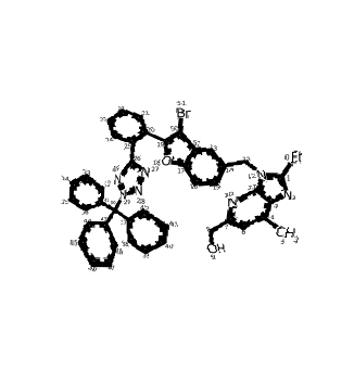 CCc1nc2c(C)cc(CO)nc2n1Cc1ccc2oc(-c3ccccc3-c3nnn(C(c4ccccc4)(c4ccccc4)c4ccccc4)n3)c(Br)c2c1